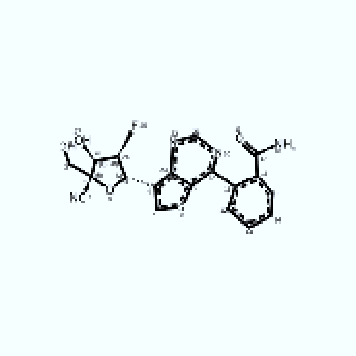 N#C[C@]1(CO)O[C@@H](c2csc3c(-c4ccccc4C(N)=O)ncnc23)[C@H](F)[C@@H]1O